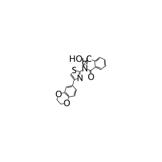 O=C(O)c1ccccc1C(=O)Nc1nc(-c2ccc3c(c2)OCCO3)cs1